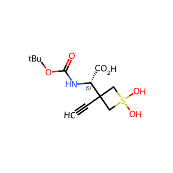 C#CC1([C@H](NC(=O)OC(C)(C)C)C(=O)O)CS(O)(O)C1